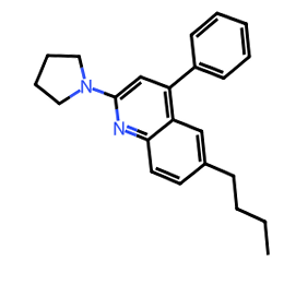 CCCCc1ccc2nc(N3CCCC3)cc(-c3ccccc3)c2c1